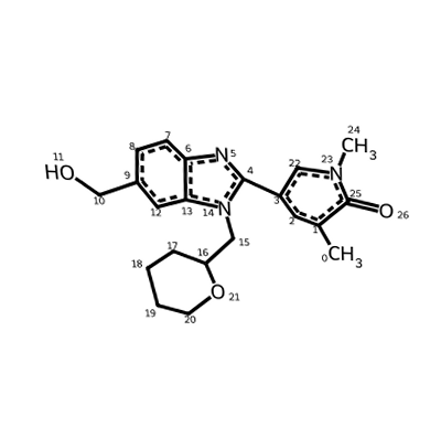 Cc1cc(-c2nc3ccc(CO)cc3n2CC2CCCCO2)cn(C)c1=O